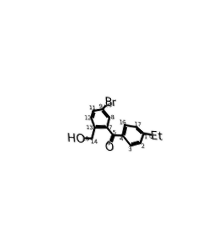 CCc1ccc(C(=O)c2cc(Br)ccc2CO)cc1